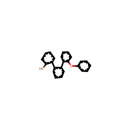 Sc1ccccc1-c1ccccc1-c1ccccc1Oc1ccccc1